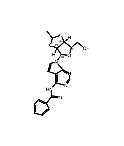 CC1O[C@@H]2[C@H](O1)[C@@H](CO)O[C@H]2n1ccc2c(NC(=O)c3ccccc3)ncnc21